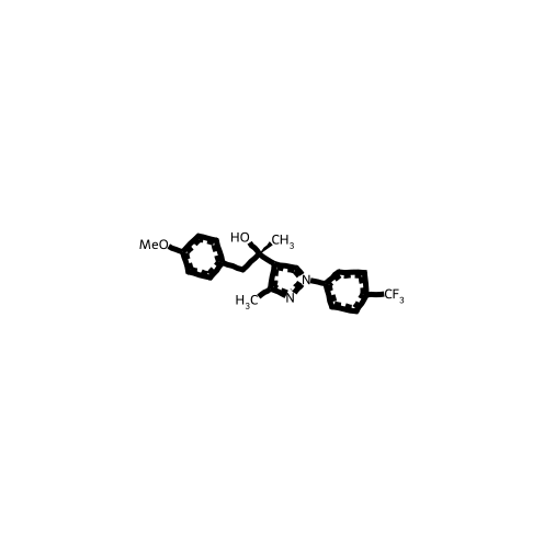 COc1ccc(C[C@](C)(O)c2cn(-c3ccc(C(F)(F)F)cc3)nc2C)cc1